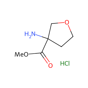 COC(=O)C1(N)CCOC1.Cl